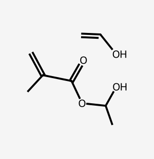 C=C(C)C(=O)OC(C)O.C=CO